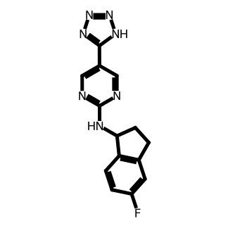 Fc1ccc2c(c1)CCC2Nc1ncc(-c2nnn[nH]2)cn1